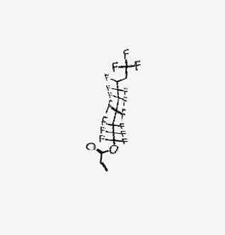 C=CC(=O)OC(F)(F)C(F)(F)C(F)(F)C(F)(F)C(F)(F)C(F)(F)C(F)CC(F)(F)F